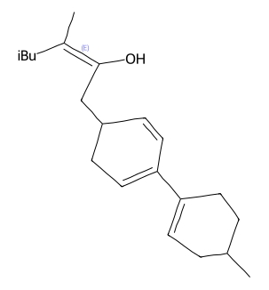 CCC(C)/C(C)=C(/O)CC1C=CC(C2=CCC(C)CC2)=CC1